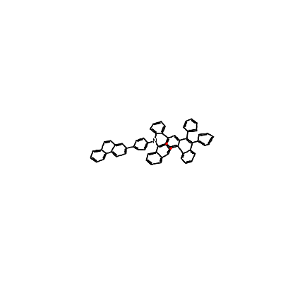 c1ccc(-c2c(-c3ccccc3)c3cc(-c4ccccc4N(c4ccc(-c5ccc6c(ccc7ccccc76)c5)cc4)c4cccc5ccccc45)ccc3c3ccccc23)cc1